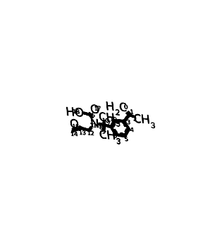 C=C(C)c1cccc(C(C)(C)N(CC2CO2)C(=O)O)c1